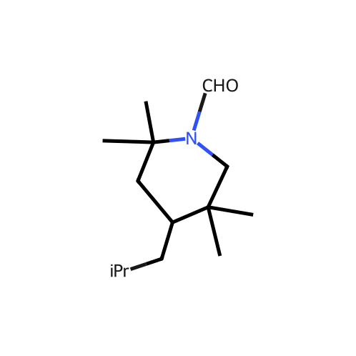 CC(C)CC1CC(C)(C)N(C=O)CC1(C)C